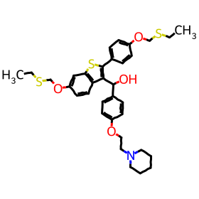 CCSCOc1ccc(-c2sc3cc(OCSCC)ccc3c2C(O)c2ccc(OCCN3CCCCC3)cc2)cc1